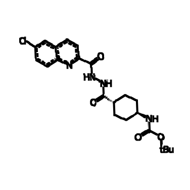 CC(C)(C)OC(=O)N[C@H]1CC[C@H](C(=O)NNC(=O)c2ccc3cc(Cl)ccc3n2)CC1